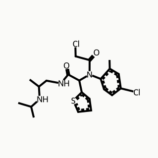 Cc1cc(Cl)ccc1N(C(=O)CCl)C(C(=O)NCC(C)NC(C)C)c1cccs1